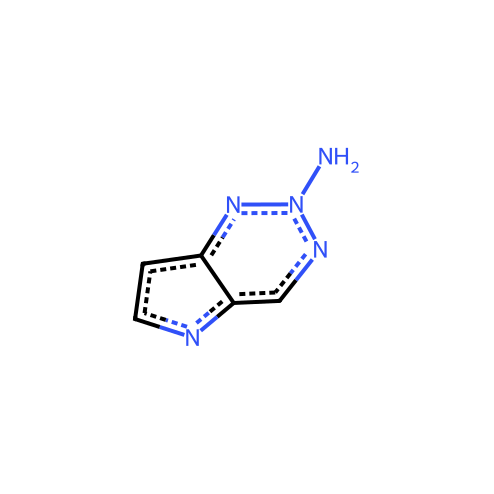 Nn1ncc2nccc-2n1